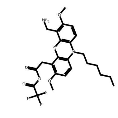 CCCCCCN1c2ccc(OC)c(CN)c2Sc2c1ccc(OC)c2CC(=O)OC(=O)C(F)(F)F